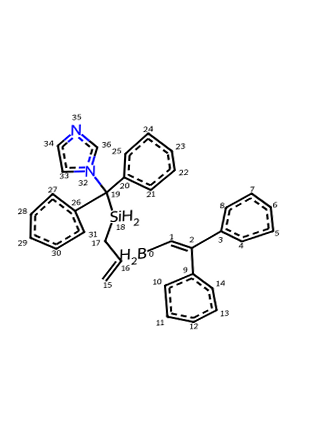 BC=C(c1ccccc1)c1ccccc1.C=CC[SiH2]C(c1ccccc1)(c1ccccc1)n1ccnc1